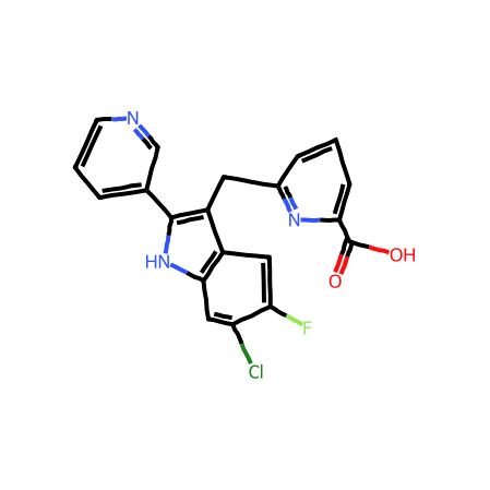 O=C(O)c1cccc(Cc2c(-c3cccnc3)[nH]c3cc(Cl)c(F)cc23)n1